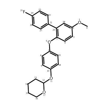 COc1ccc(Oc2ccc(OC3CCCCO3)cc2)c(-c2ccc(F)cc2)c1